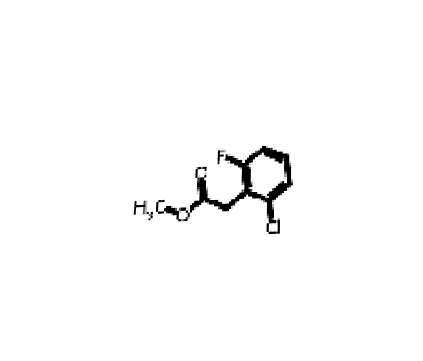 COC(=O)Cc1c(F)cccc1Cl